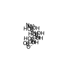 OB(O)O.OB(O)O.OB(O)O.[Na+].[Na+].[O-]B([O-])O